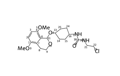 COc1ccc(OC)c2c1CCOC2OC1CCC(NC(=O)NCCCl)CC1